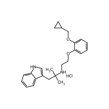 CC(C)(Cc1c[nH]c2ccccc12)NCCOc1ccccc1OCC1CC1.Cl